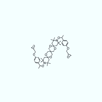 CC(ON1C(C)(C)CC2(CC1(C)C)OCC1(CO2)COC2(CC(C)(C)N(OC(C)c3ccc(OCC4CO4)cc3)C(C)(C)C2)OC1)c1ccc(OCC2CO2)cc1